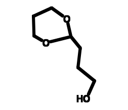 OCCCC1OCCCO1